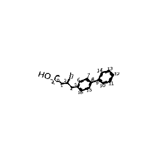 O=C(O)CC(I)Cc1ccc(-c2ccccc2)cc1